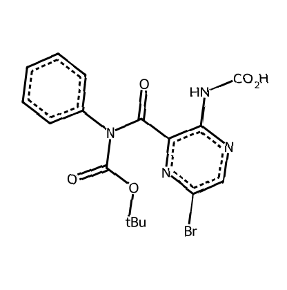 CC(C)(C)OC(=O)N(C(=O)c1nc(Br)cnc1NC(=O)O)c1ccccc1